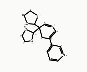 C1=NC=C(c2cccnc2)CC1(C1OCCO1)C1OCCO1